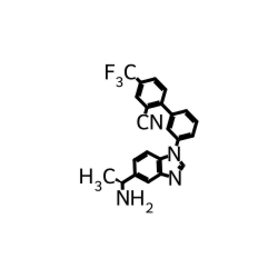 C[C@H](N)c1ccc2c(c1)ncn2-c1cccc(-c2ccc(C(F)(F)F)cc2C#N)c1